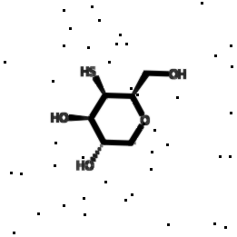 OC[C@H]1O[CH][C@H](O)[C@@H](O)[C@H]1S